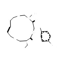 CN1CCCC/C=C/CCC[C@H](CC(=O)O)C(=O)N[C@@H](Cc2ccc([N+](=O)[O-])cc2)C1=O